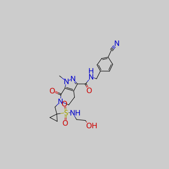 Cn1nc(C(=O)NCc2ccc(C#N)cc2)c2c1C(=O)N(CC1(S(=O)(=O)NCCO)CC1)CC2